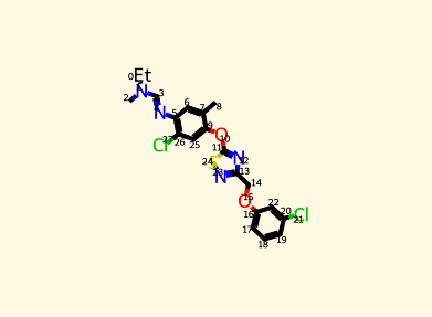 CCN(C)C=Nc1cc(C)c(Oc2nc(COc3cccc(Cl)c3)ns2)cc1Cl